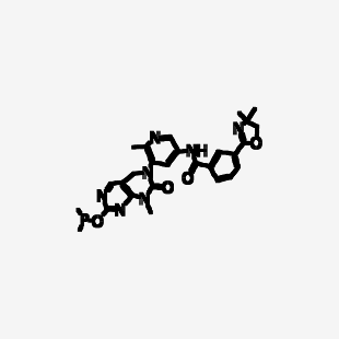 Cc1ncc(NC(=O)c2cccc(C3=NC(C)(C)CO3)c2)cc1N1Cc2cnc(OP(C)C)nc2N(C)C1=O